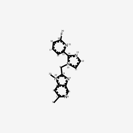 Cc1cc2c(cn1)nc(Cn1ccnc1-c1cccc(F)n1)n2C